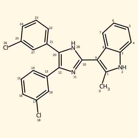 Cc1[nH]c2ccccc2c1-c1nc(-c2cccc(Cl)c2)c(-c2cccc(Cl)c2)[nH]1